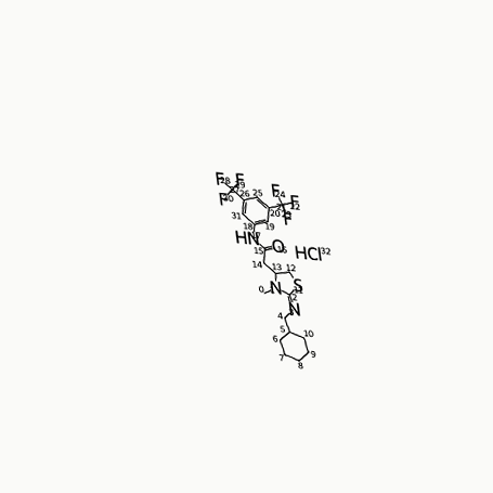 CN1C(=NCC2CCCCC2)SCC1CC(=O)Nc1cc(C(F)(F)F)cc(C(F)(F)F)c1.Cl